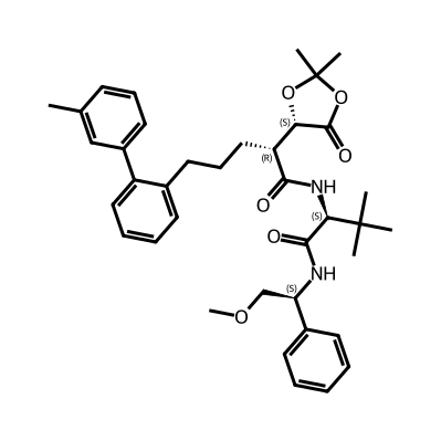 COC[C@@H](NC(=O)[C@@H](NC(=O)[C@H](CCCc1ccccc1-c1cccc(C)c1)[C@@H]1OC(C)(C)OC1=O)C(C)(C)C)c1ccccc1